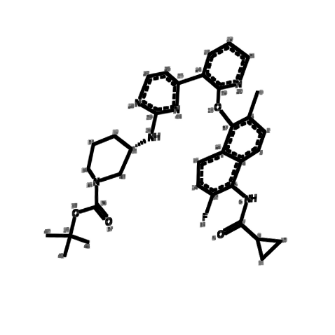 Cc1ccc2c(NC(=O)C3CC3)c(F)ccc2c1Oc1ncccc1-c1ccnc(N[C@H]2CCCN(C(=O)OC(C)(C)C)C2)n1